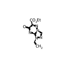 C=Cn1ncn2nc(C(=O)OCC)c(=O)nc12